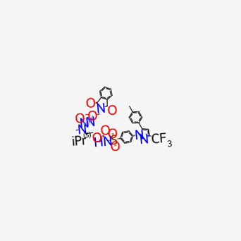 Cc1ccc(-c2cc(C(F)(F)F)nn2-c2ccc(S(=O)(=O)NC(=O)OC[C@H](C(C)C)N(C)/[N+]([O-])=N/OCN3C(=O)c4ccccc4C3=O)cc2)cc1